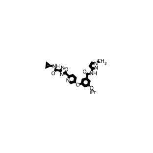 CC(C)Oc1cc(Oc2ccc(-c3nc(C(=O)NC4CC4)no3)nc2)cc(C(=O)Nc2ccn(C)n2)c1